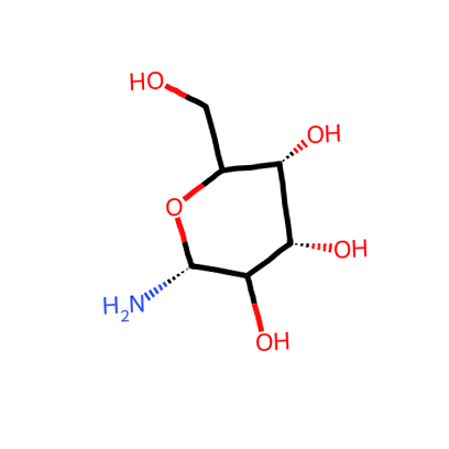 N[C@@H]1OC(CO)[C@H](O)[C@H](O)C1O